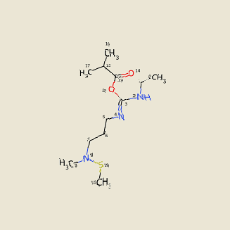 CCN/C(=N/CCCN(C)SC)OC(=O)C(C)C